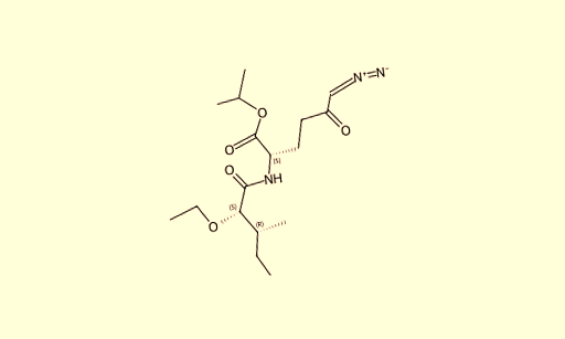 CCO[C@H](C(=O)N[C@@H](CCC(=O)C=[N+]=[N-])C(=O)OC(C)C)[C@H](C)CC